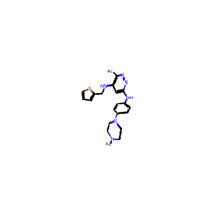 CC(=O)c1nnc(Nc2ccc(N3CCN(C(C)=O)CC3)cc2)cc1NCc1cccs1